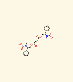 CCOC(=O)N(C)[C@@H](COC(=O)/C=C/C(=O)OC[C@@H](c1ccccc1)N(C)C(=O)OCC)c1ccccc1